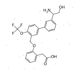 NC(CO)c1cccc(-c2ccc(OC(F)(F)F)c(COc3ccccc3CC(=O)O)c2)c1